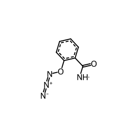 [N-]=[N+]=NOc1ccccc1C([NH])=O